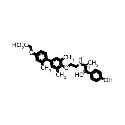 Cc1cc(OCC(=O)O)ccc1-c1cc(C)c(OCCN[C@@H](C)[C@@H](O)c2ccc(O)cc2)c(C)c1